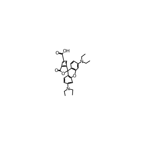 CCN(CC)c1ccc2c(c1)Oc1cc(N(CC)CC)ccc1C21OC(=O)c2cc(C(=O)O)ccc21